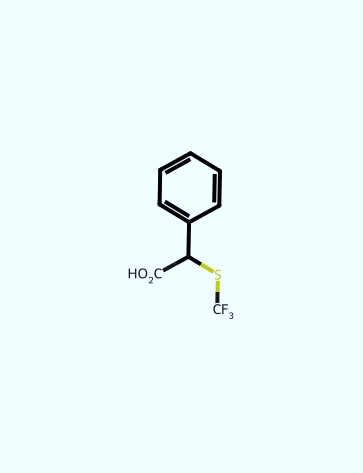 O=C(O)C(SC(F)(F)F)c1ccccc1